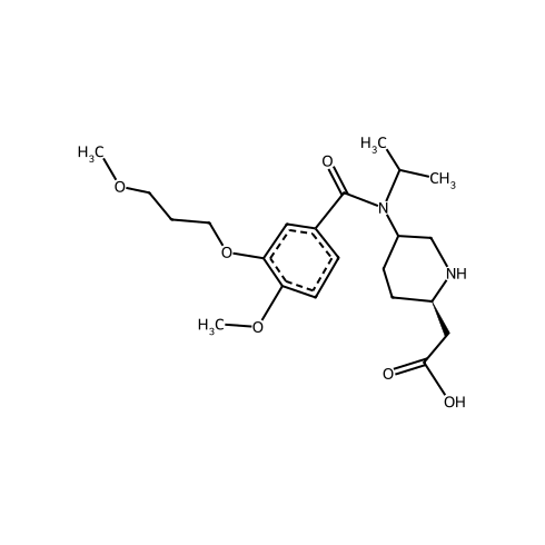 COCCCOc1cc(C(=O)N(C(C)C)C2CC[C@H](CC(=O)O)NC2)ccc1OC